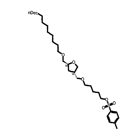 CCCCCCCCCCCCCCCCCCOC[C@@H]1C[C@@H](COCCCCCOS(=O)(=O)c2ccc(C)cc2)CO1